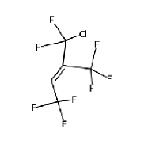 FC(F)(F)C=C(C(F)(F)F)C(F)(F)Cl